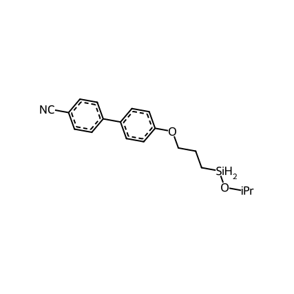 CC(C)O[SiH2]CCCOc1ccc(-c2ccc(C#N)cc2)cc1